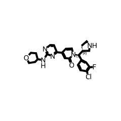 O=c1cc(-c2ccnc(NC3CCOCC3)n2)ccn1[C@H](c1ccc(Cl)c(F)c1)[C@@H]1CCNC1